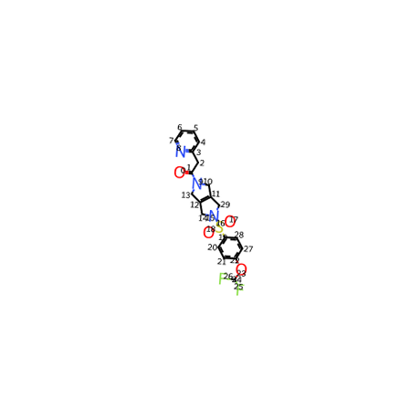 O=C(Cc1ccccn1)N1CC2=C(C1)CN(S(=O)(=O)c1ccc(OC(F)F)cc1)C2